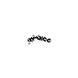 O=C(NCc1ccc(S(=O)(=O)C2CCN(C3CCOCC3)CC2)cn1)c1cnc2[nH]ncc2c1